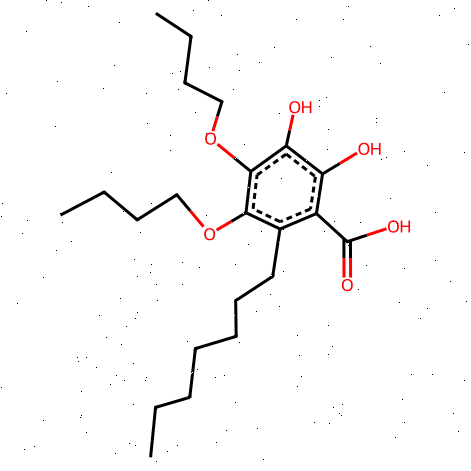 CCCCCCCc1c(OCCCC)c(OCCCC)c(O)c(O)c1C(=O)O